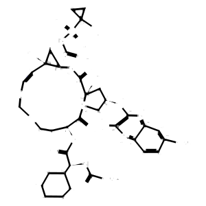 COC(=O)N[C@H](C(=O)N[C@H]1CCCCC/C=C\[C@@H]2C[C@@]2(C(=O)NS(=O)(=O)C2(C)CC2)NC(=O)[C@@H]2C[C@@H](Oc3nc4cc(OC)ccc4nc3C)CN2C1=O)C1CCCCC1